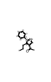 CCCc1c(C(C)=O)cnn1-c1ccccc1